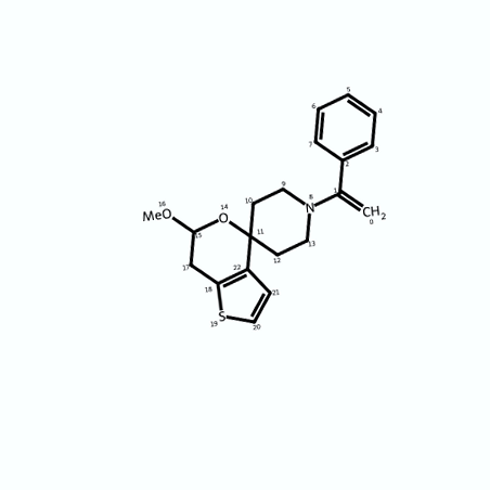 C=C(c1ccccc1)N1CCC2(CC1)OC(OC)Cc1sccc12